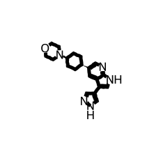 c1n[nH]cc1-c1c[nH]c2ncc([C@H]3CC[C@H](N4CCOCC4)CC3)cc12